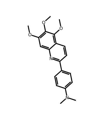 COc1cc2nc(-c3ccc(N(C)C)cc3)ccc2c(OC)c1OC